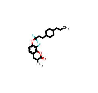 CCCC1CCC(CCC(F)(F)Oc2ccc3c(c2F)OC(=O)C(C)C3)CC1